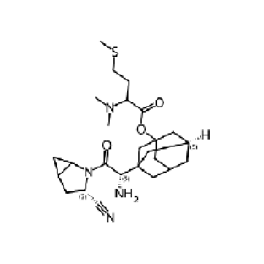 CSCCC(C(=O)OC12CC3C[C@H](C1)CC([C@H](N)C(=O)N1C4CC4C[C@H]1C#N)(C3)C2)N(C)C